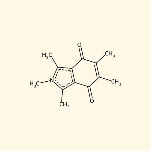 CC1=C(C)C(=O)c2c(c(C)n(C)c2C)C1=O